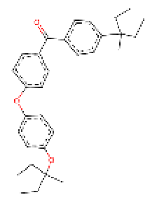 CCC(C)(CC)Oc1ccc(Oc2ccc(C(=O)c3ccc(C(C)(CC)CC)cc3)cc2)cc1